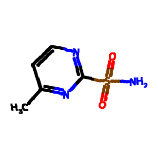 Cc1ccnc(S(N)(=O)=O)n1